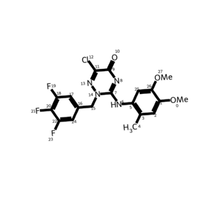 COc1cc(C)c(Nc2nc(=O)c(Cl)nn2Cc2cc(F)c(F)c(F)c2)cc1OC